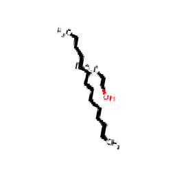 CCCCCCCCCCCCCC.CCOC(=O)CCO